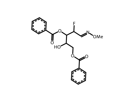 CON=CC(F)C(OC(=O)c1ccccc1)C(O)COC(=O)c1ccccc1